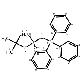 CC(C)(C)[O][Zr]([OH])([OH])[O][Si](c1ccccc1)(c1ccccc1)c1ccccc1